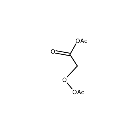 CC(=O)OOCC(=O)OC(C)=O